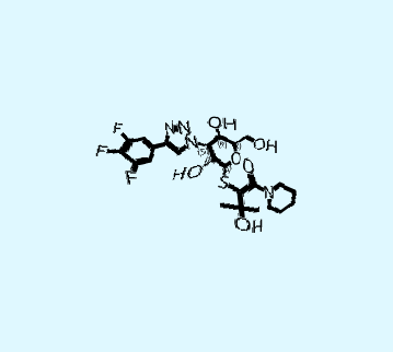 CC(C)(O)C(S[C@@H]1O[C@H](CO)[C@H](O)[C@H](n2cc(-c3cc(F)c(F)c(F)c3)nn2)[C@H]1O)C(=O)N1CCCCC1